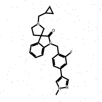 Cn1cc(-c2ccc(CN3C(=O)C4(CCN(CC5CC5)C4)c4ccccc43)c(F)c2)cn1